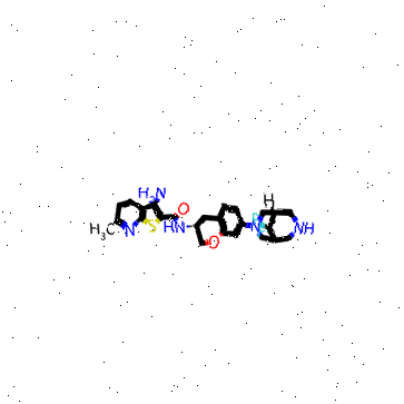 Cc1ccc2c(N)c(C(=O)N[C@H]3COc4cc(N5CC6CNC[C@@H](C5)C6(F)F)ccc4C3)sc2n1